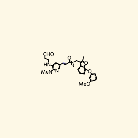 CNc1ncc(/C=C/C(=O)N(C)Cc2c(C)oc3c(Oc4cccc(OC)c4)cccc23)cc1NCCC=O